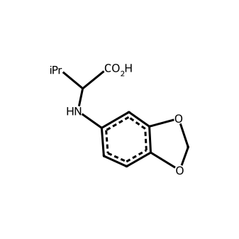 CC(C)C(Nc1ccc2c(c1)OCO2)C(=O)O